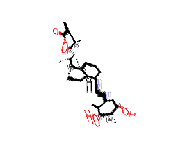 C=C1C(=O)O[C@@H](C[C@@H](C)[C@H]2CC[C@H]3/C(=C/C=C4/C[C@@H](O)[C@H](C)[C@H](O)C4=C)CCC[C@]23C)[C@@H]1C